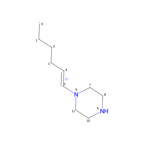 [CH2]CCC/C=C/N1CCNCC1